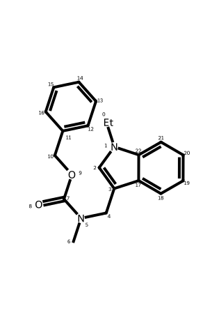 CCn1cc(CN(C)C(=O)OCc2ccccc2)c2ccccc21